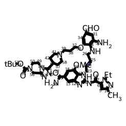 CCn1nc(C)cc1C(=O)Nc1nc2cc(C(N)=O)cc(OC)c2n1C/C=C/CNc1c(N)cc(C=O)cc1OCCCN1CCC(c2nnc3n2CCN(C(=O)OC(C)(C)C)C3)CC1